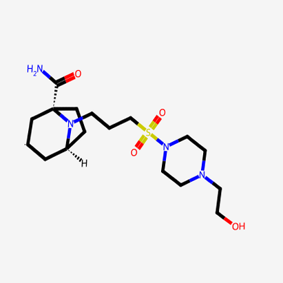 NC(=O)[C@]12C[CH]C[C@H](CC1)N2CCCS(=O)(=O)N1CCN(CCO)CC1